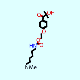 CNCCCCCCNC(=O)OCCOc1ccc(C(=O)C(C)(C)O)cc1